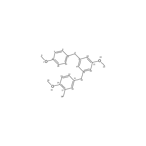 COc1ccc(Cc2cc(Cc3ccc(OC)c(C)c3)cc(OC)c2)cc1